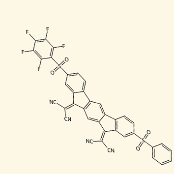 N#CC(C#N)=C1c2cc(S(=O)(=O)c3ccccc3)ccc2-c2cc3c(cc21)C(=C(C#N)C#N)c1cc(S(=O)(=O)c2c(F)c(F)c(F)c(F)c2F)ccc1-3